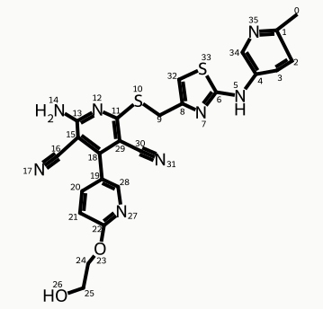 Cc1ccc(Nc2nc(CSc3nc(N)c(C#N)c(-c4ccc(OCCO)nc4)c3C#N)cs2)cn1